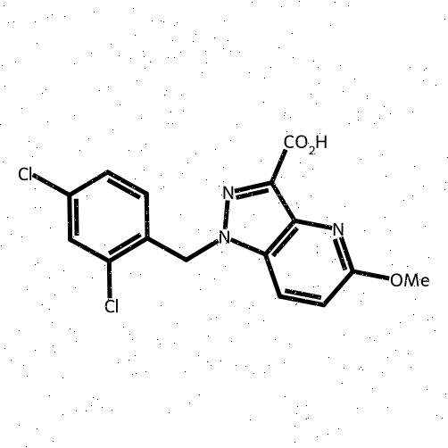 COc1ccc2c(n1)c(C(=O)O)nn2Cc1ccc(Cl)cc1Cl